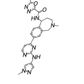 CN1CCC(NC(=O)c2nnc(C(C)(C)C)o2)c2ccc(-c3ccnc(Nc4cnn(C)c4)n3)cc2C1